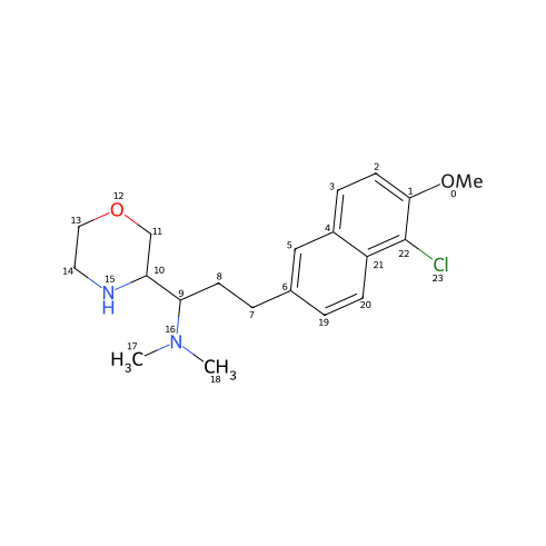 COc1ccc2cc(CCC(C3COCCN3)N(C)C)ccc2c1Cl